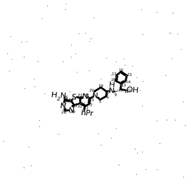 CCCc1cc(N2CCC(NC[C@@H](CO)c3ccccc3)CC2)nc2sc3c(N)ncnc3c12